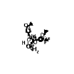 CC(OC(N)=O)c1oc(-c2ccc(OC(F)F)c(OCC3CC3)c2)nc1C(=O)NCC1CCN(C(=O)C2CC2)CC1